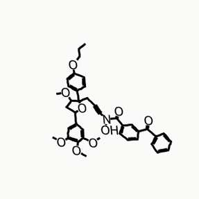 CCCOc1ccc(C2(CC#CN(O)C(=O)c3cccc(C(=O)c4ccccc4)c3)OC(c3cc(OC)c(OC)c(OC)c3)CC2OC)cc1